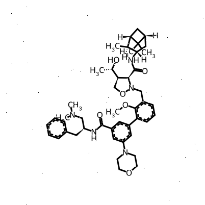 COc1c(CN2OC[C@@H]([C@H](C)O)[C@H]2C(=O)N[C@H]2C[C@H]3C[C@@H]([C@@H]2C)C3(C)C)cccc1-c1cc(C(=O)N[C@@H](Cc2ccccc2)CN(C)C)cc(N2CCOCC2)c1